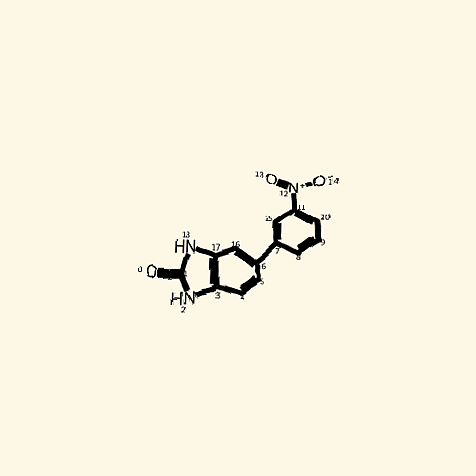 O=c1[nH]c2ccc(-c3cccc([N+](=O)[O-])c3)cc2[nH]1